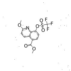 COC(=O)c1ccc(OS(=O)(=O)C(F)(F)F)c2nc(OC)ccc12